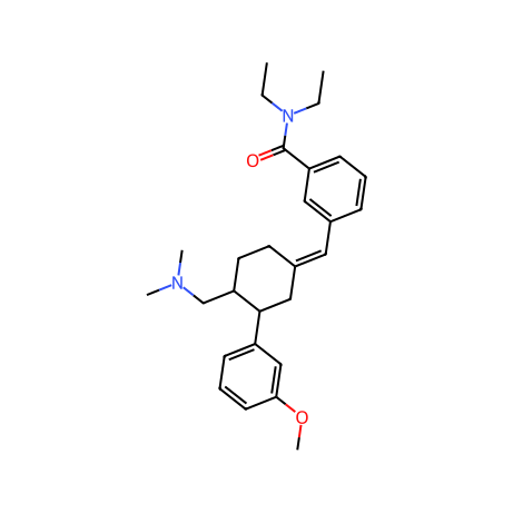 CCN(CC)C(=O)c1cccc(/C=C2\CCC(CN(C)C)C(c3cccc(OC)c3)C2)c1